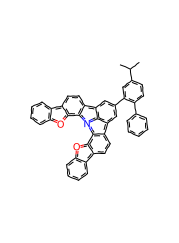 CC(C)c1ccc(-c2ccccc2)c(-c2cc3c4ccc5c6ccccc6oc5c4n4c3c(c2)c2ccc3c5ccccc5oc3c24)c1